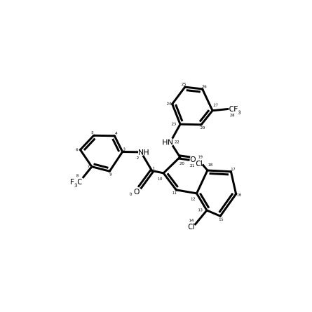 O=C(Nc1cccc(C(F)(F)F)c1)C(=Cc1c(Cl)cccc1Cl)C(=O)Nc1cccc(C(F)(F)F)c1